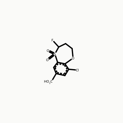 O=C(O)c1cc(Cl)c2c(c1)S(=O)(=O)C(F)CCO2